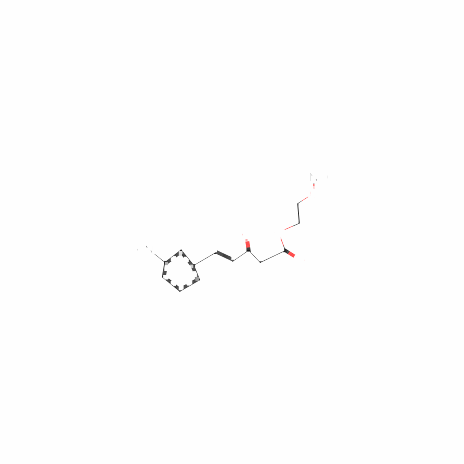 O=C(C=Cc1cccc([N+](=O)[O-])c1)CC(=O)OCCO[N+](=O)[O-]